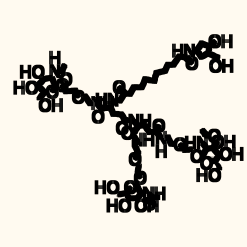 CC(=O)NC1C(OCCOCCNC(=O)C(CCC(=O)NC(CCC(=O)NCCOCCOC2O[C@H](CO)C(O)C(O)C2NC(C)=O)C(=O)NCCOCCOC2OC(CO)C(O)C(O)C2NC(C)=O)NCC(=O)CCCCCCCCCCC(=O)NC2CC(O)C(CO)C2)OC(CO)C(O)C1O